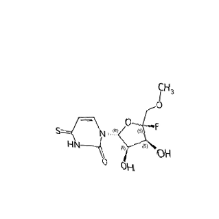 COC[C@@]1(F)O[C@@H](n2ccc(=S)[nH]c2=O)[C@H](O)[C@@H]1O